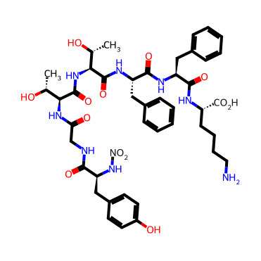 C[C@@H](O)[C@H](NC(=O)CNC(=O)[C@H](Cc1ccc(O)cc1)N[N+](=O)[O-])C(=O)N[C@H](C(=O)N[C@@H](Cc1ccccc1)C(=O)N[C@@H](Cc1ccccc1)C(=O)N[C@@H](CCCCN)C(=O)O)[C@@H](C)O